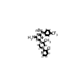 CCCCN(c1ccc(C(F)(F)F)cc1)c1nc(N)nc(N2CCN(c3ncccc3Cl)CC2C)n1